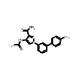 NC(=O)Nc1cn(-c2cccc(-c3ccc(N)cc3)c2)nc1C(N)=O